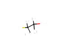 CCCC(S)(CC)C(O)(CC)CC